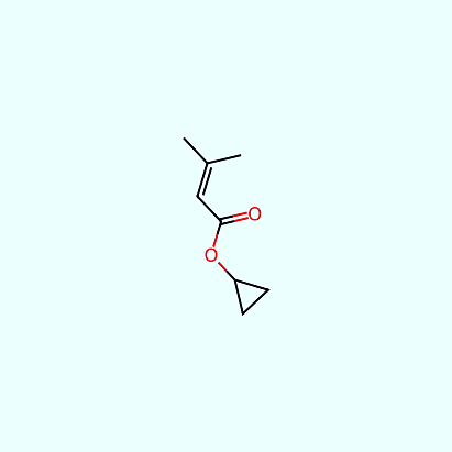 CC(C)=CC(=O)OC1CC1